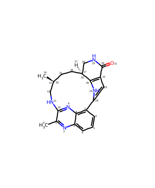 Cc1nc2cccc3c2nc1NC[C@@H](C)CC[C@H]1CNC(=O)c2cc-3[nH]c21